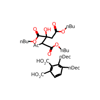 CCCCCCCCCCc1ccc(C(=O)O)c(C(=O)O)c1CCCCCCCCCC.CCCCOC(=O)CC(O)(C(=O)OCCCC)C(C(C)=O)C(=O)OCCCC